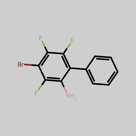 Bc1c(F)c(Br)c(F)c(F)c1-c1ccccc1